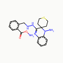 NOC(=O)c1ccccc1CNNC1=Nc2ccccc2N(N)C12CCSCC2